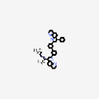 C=C/C=C\C=C(/C)c1cc(-c2cccc(-c3cccc(-c4cc(-c5ccccc5)c5ccc6cccnc6c5n4)c3)c2)nc2c1ccc1cccnc12